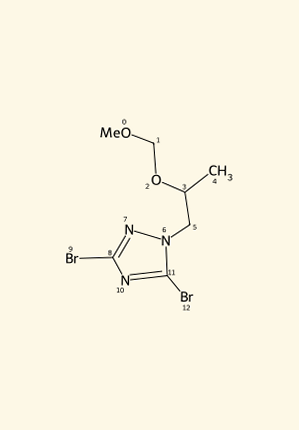 COCOC(C)Cn1nc(Br)nc1Br